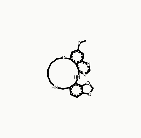 COc1cc2c3c(ncnc3c1)Nc1c(ccc3c1OCO3)CNCCCCCO2